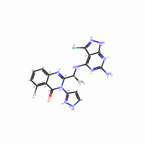 C[C@H](Nc1nc(N)nc2[nH]nc(Br)c12)c1nc2cccc(Cl)c2c(=O)n1-c1cc[nH]n1